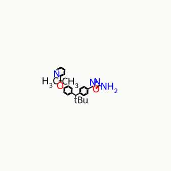 CC(C)(Oc1ccc(C(c2ccc(-c3nnc(N)o3)cc2)C(C)(C)C)cc1)c1ccccn1